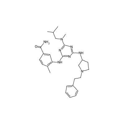 Cc1ccc(C(N)=O)cc1Nc1nc(NC2CCN(CCc3ccccc3)C2)nc(N(C)CC(C)C)n1